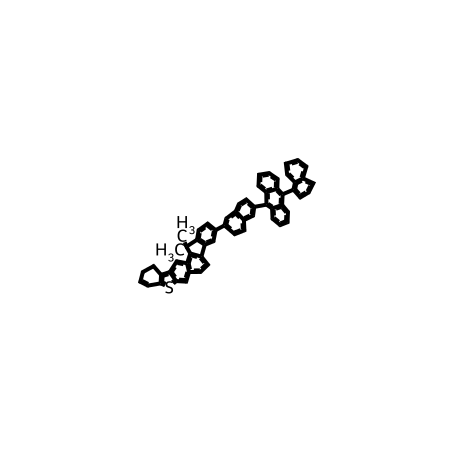 CC1(C)c2ccc(-c3ccc4cc(-c5c6ccccc6c(-c6cccc7ccccc67)c6ccccc56)ccc4c3)cc2-c2ccc3cc4sc5c(c4cc3c21)CCC=C5